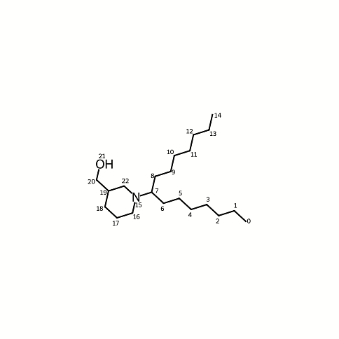 CCCCCCCC(CCCCCCC)N1CCCC(CO)C1